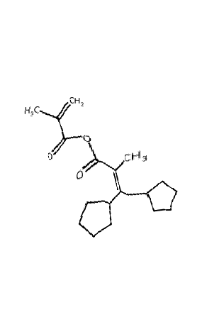 C=C(C)C(=O)OC(=O)C(C)=C(C1CCCC1)C1CCCC1